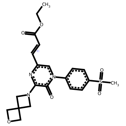 CCOC(=O)/C=C/c1cn(-c2ccc(S(C)(=O)=O)cc2)c(=O)c(N2CC3(COC3)C2)n1